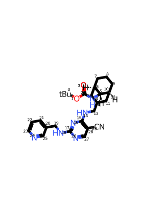 CC(C)(C)OC(=O)N[C@@H]1[C@@H]2CCC[C@H]1CC(CNc1nc(NCc3cccnc3)ncc1C#N)C2